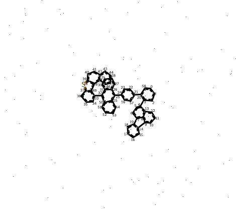 c1ccc(-c2ccc3c4c(cccc24)-c2ccccc2-3)c(-c2ccc(-c3c4ccccc4c(-c4cccc5sc6ccc7ccccc7c6c45)c4ccccc34)cc2)c1